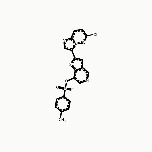 Cc1ccc(S(=O)(=O)Oc2cncc3cc(-c4cnc5ccc(Cl)nn45)sc23)cc1